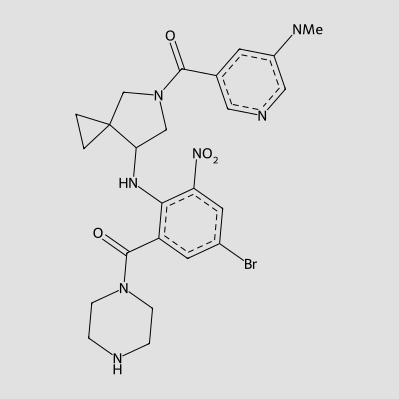 CNc1cncc(C(=O)N2CC(Nc3c(C(=O)N4CCNCC4)cc(Br)cc3[N+](=O)[O-])C3(CC3)C2)c1